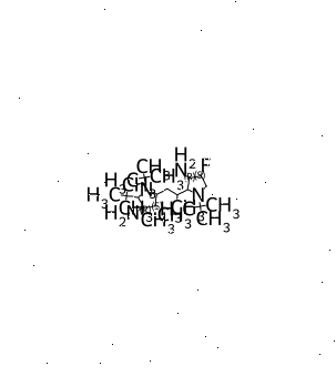 CC(CC1[C@H](C)[C@@](C)(N)C(C(C)(C)C)N1C(C)(C)C)C1[C@@H](N)[C@@H](F)CN1C(C)(C)C